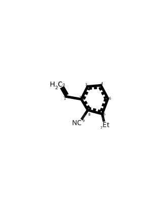 C=[C]c1cccc(CC)c1C#N